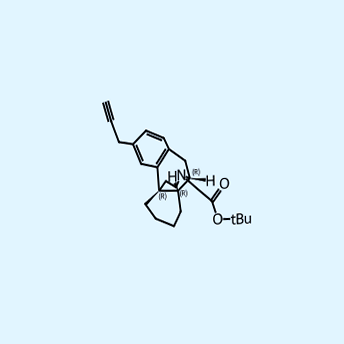 C#CCc1ccc2c(c1)[C@@]13CCCC[C@H]1[C@@H](C2)N(C(=O)OC(C)(C)C)CC3